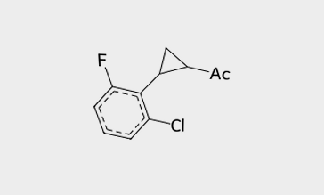 CC(=O)C1CC1c1c(F)cccc1Cl